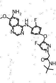 COc1cc2ncnc(Nc3ccc(Oc4nn(CC(=O)NC(C)(C)C)cc4F)cc3F)c2cc1N